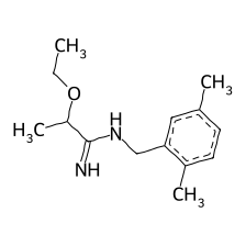 CCOC(C)C(=N)NCc1cc(C)ccc1C